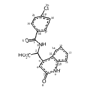 O=C(NC(C(=O)O)c1cc(=O)[nH]c2ccccc12)c1ccc(Cl)cc1